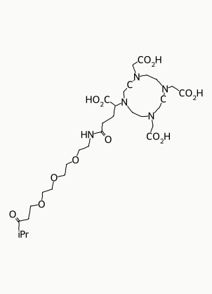 CC(C)C(=O)CCOCCOCCOCCNC(=O)CCC(C(=O)O)N1CCN(CC(=O)O)CCN(CC(=O)O)CCN(CC(=O)O)CC1